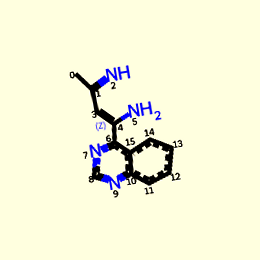 CC(=N)/C=C(\N)c1ncnc2ccccc12